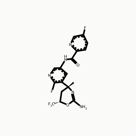 C[C@]1(c2cc(NC(=O)c3ccc(F)cn3)cnc2F)C[C@@H](C(F)(F)F)OC(N)=N1